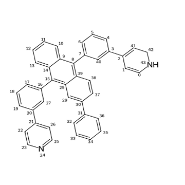 C1=CC(c2cccc(-c3c4ccccc4c(-c4cccc(-c5ccncc5)c4)c4cc(-c5ccccc5)ccc34)c2)=CCN1